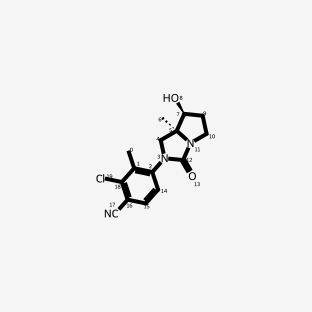 Cc1c(N2C[C@@]3(C)[C@@H](O)CCN3C2=O)ccc(C#N)c1Cl